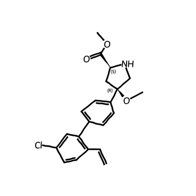 C=Cc1ccc(Cl)cc1-c1ccc([C@@]2(OC)CN[C@H](C(=O)OC)C2)cc1